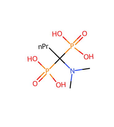 CCCC(N(C)C)(P(=O)(O)O)P(=O)(O)O